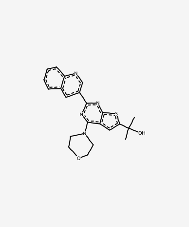 CC(C)(O)c1cc2c(N3CCOCC3)nc(-c3cnc4ccccc4c3)nc2s1